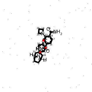 CC(=O)c1ccc(N2[C@@H]3CC[C@H]2C[C@@H](NC(=O)c2ccc(C(N)=O)c(N4CCC4)c2)C3)nc1